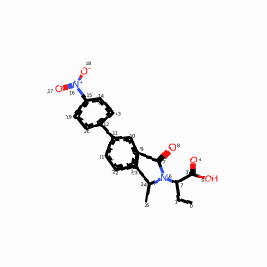 CCC(C(=O)O)N1C(=O)c2cc(-c3ccc([N+](=O)[O-])cc3)ccc2C1C